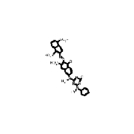 CC(C)N(c1ccccc1)c1nc(Cl)nc(N(C)c2ccc3c(O)c(N=Nc4ccc5c(S(=O)(=O)O)cccc5c4S(=O)(=O)O)c(S(=O)(=O)O)cc3c2)n1